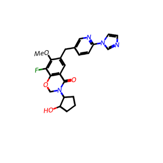 COc1c(Cc2ccc(-n3ccnc3)nc2)cc2c(c1F)OCN(C1CCCC1O)C2=O